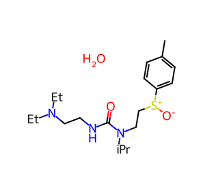 CCN(CC)CCNC(=O)N(CC[S+]([O-])c1ccc(C)cc1)C(C)C.O